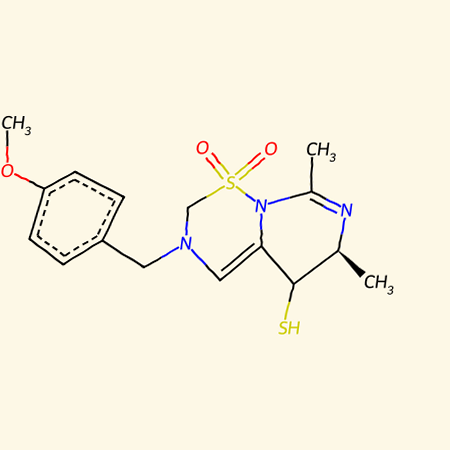 COc1ccc(CN2C=C3C(S)[C@H](C)N=C(C)N3S(=O)(=O)C2)cc1